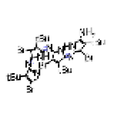 CC(C)(C)C1=C(Br)CN=C1/N=C1\N/C(=N\C2=NC(=N\c3[nH]c(N)c(C(C)(C)C)c3Br)/C(C(C)(C)C)=C2Br)C(C(C)(C)C)=C1Br